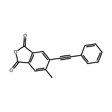 Cc1cc2c(cc1C#Cc1ccccc1)C(=O)OC2=O